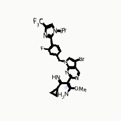 CO/C(N)=C(/C(=N)C1CC1)c1ncc2c(Br)cn(Cc3ccc(-c4nc(C(F)(F)F)cn4C(C)C)c(F)c3)c2n1